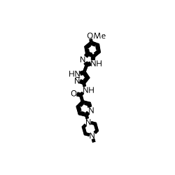 COc1ccc2[nH]c(-c3cc(NC(=O)c4ccc(N5CCN(C)CC5)nc4)n[nH]3)nc2c1